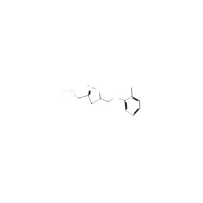 Cc1ccccc1OCC1CC(CN)=NO1